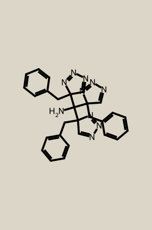 NC(C1(Cc2ccccc2)C=NN=N1)(C1(Cc2ccccc2)C=NN=N1)C1(Cc2ccccc2)C=NN=N1